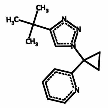 CC(C)(C)c1cn(C2(c3ccccn3)CC2)nn1